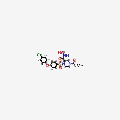 CNC(=O)N1CCN(S(=O)(=O)c2ccc(Oc3ccc(Cl)cc3)cc2)C(C(=O)NO)C1